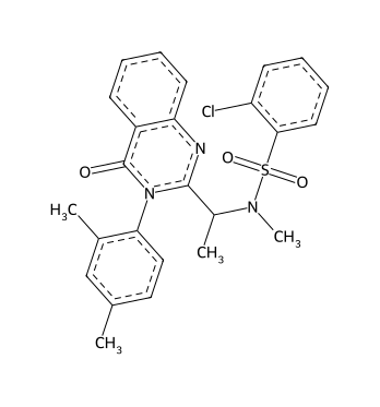 Cc1ccc(-n2c(C(C)N(C)S(=O)(=O)c3ccccc3Cl)nc3ccccc3c2=O)c(C)c1